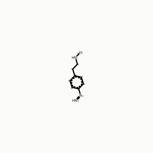 CCNCCc1ccc(N=N)cc1